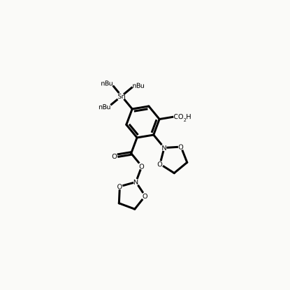 CCC[CH2][Sn]([CH2]CCC)([CH2]CCC)[c]1cc(C(=O)O)c(N2OCCO2)c(C(=O)ON2OCCO2)c1